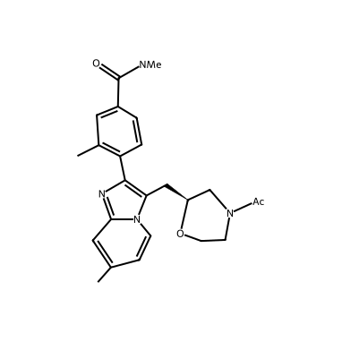 CNC(=O)c1ccc(-c2nc3cc(C)ccn3c2C[C@H]2CN(C(C)=O)CCO2)c(C)c1